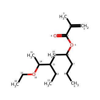 C=C(C)C(=O)OC(CCC)[SiH2]C(CC)C(C)OCC